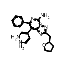 N/C=C\C(=C/N)c1c(-c2ccccc2)nc(N)n2nc(CC3CCCO3)nc12